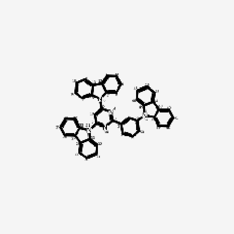 c1cc(-c2nc(-n3c4ccccc4c4ccccc43)cc(-n3c4ccccc4c4ccccc43)n2)cc(-n2c3ccccc3c3ccccc32)c1